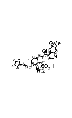 COc1ccc2nccc([C@H](O)CC[C@@H]3CCN(CC#Cc4cccs4)C[C@@H]3CC(=O)O)c2c1.Cl.Cl